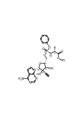 C#C[C@@]1(O)[C@H](O)[C@@H](CO[P@@](=O)(N[C@@H](C)C(=O)OC(C)C)Oc2ccccc2)O[C@H]1n1ccc2c(N)ncnc21